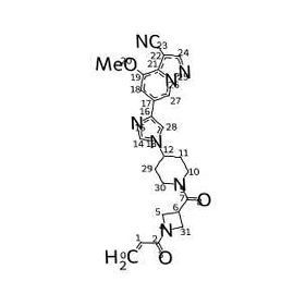 C=CC(=O)N1CC(C(=O)N2CCC(n3cnc(-c4cc(OC)c5c(C#N)cnn5c4)c3)CC2)C1